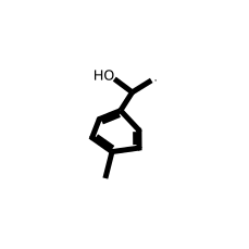 [CH2]C(O)c1ccc(C)cc1